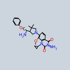 COc1c(N2CC([C@@H](N)COc3ccccc3)C(C)(C)C2)ccc2c(=O)n(N)c(=O)n(C3CC3)c12